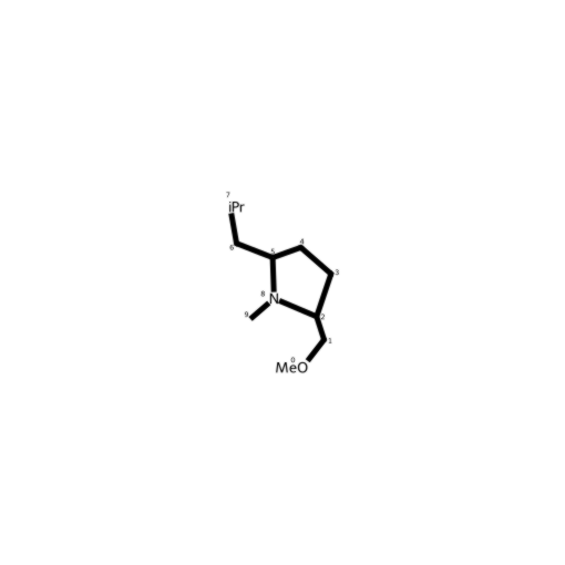 COCC1CCC(CC(C)C)N1C